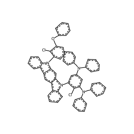 Clc1c(Oc2ccccc2)cccc1-n1c2ccccc2c2cc3c4ccccc4n(-c4cc(N(c5ccccc5)c5ccccc5)cc(N(c5ccccc5)c5ccccc5)c4Cl)c3cc21